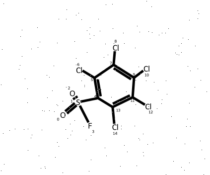 O=S(=O)(F)c1c(Cl)c(Cl)c(Cl)c(Cl)c1Cl